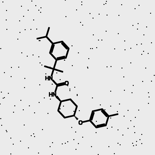 Cc1ccc(O[C@H]2CC[C@H](NC(=O)NC(C)(C)c3cccc(C(C)C)c3)CC2)cc1